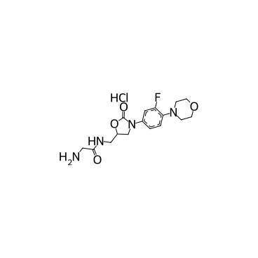 Cl.NCC(=O)NCC1CN(c2ccc(N3CCOCC3)c(F)c2)C(=O)O1